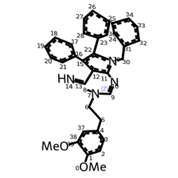 COc1ccc(CCN(C)/C=N\c2c(C=N)c(-c3ccccc3)c(-c3ccccc3)n2Cc2ccccc2)cc1OC